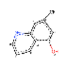 Oc1cc(C(F)(F)F)cc2ncccc12